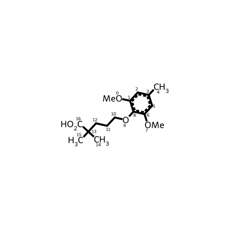 COc1cc(C)cc(OC)c1OCCCC(C)(C)C(=O)O